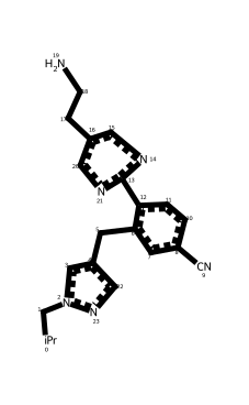 CC(C)Cn1cc(Cc2cc(C#N)ccc2-c2ncc(CCN)cn2)cn1